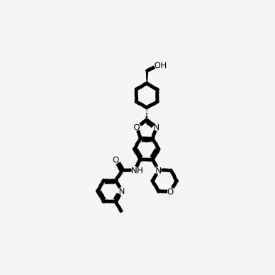 Cc1cccc(C(=O)Nc2cc3oc([C@H]4CC[C@H](CO)CC4)nc3cc2N2CCOCC2)n1